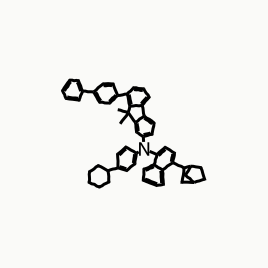 CC1(C)c2cc(N(c3ccc(C4CCCCC4)cc3)c3ccc(C4CC5CCC4C5)c4ccccc34)ccc2-c2cccc(-c3ccc(-c4ccccc4)cc3)c21